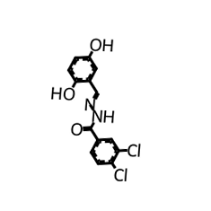 O=C(NN=Cc1cc(O)ccc1O)c1ccc(Cl)c(Cl)c1